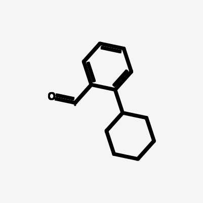 O=[C]c1ccccc1C1CCCCC1